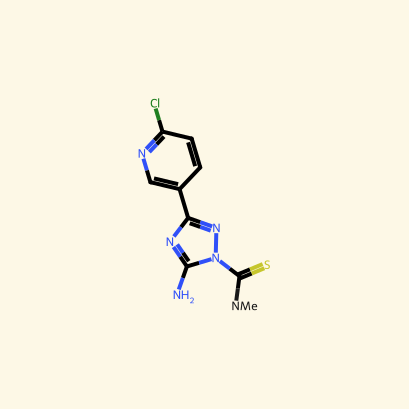 CNC(=S)n1nc(-c2ccc(Cl)nc2)nc1N